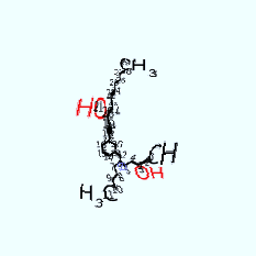 C#CC(O)C/C=C(/CCCCC)CC1C=CCC(C#CC(O)CC=CCCCCC)C1